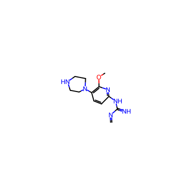 C=NC(=N)Nc1ccc(N2CCNCC2)c(OC)n1